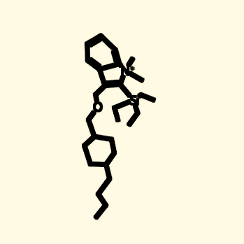 CCCCC1CCC(COCC2=C([Si](CC)(CC)CC)[N+](C)(C)c3ccccc32)CC1